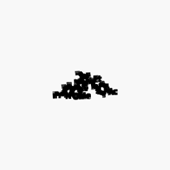 CCC(CN1CCN(C(C)=O)CC1)n1cc(C)c2nc(-c3ccc(C(C)C)nc3OC)c(C)nc21